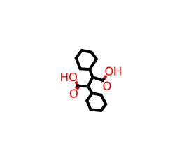 O=C(O)C(C1CCCCC1)C(C(=O)O)C1CCCCC1